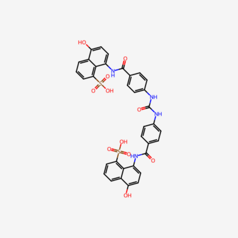 O=C(Nc1ccc(C(=O)Nc2ccc(O)c3cccc(S(=O)(=O)O)c23)cc1)Nc1ccc(C(=O)Nc2ccc(O)c3cccc(S(=O)(=O)O)c23)cc1